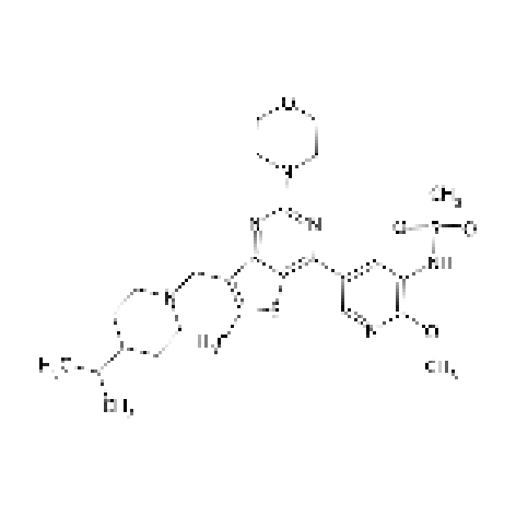 COc1ncc(-c2nc(N3CCOCC3)nc3c(CN4CCC(C(C)C)CC4)c(C)sc23)cc1NS(C)(=O)=O